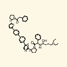 CCN(CC)CCCC(O)NC(C(=O)N1CCC[C@H]1c1ncc(-c2ccc(-c3ccc(-c4ccc([C@@H]5CCCN5C(=O)Cc5ccccc5)s4)cc3)cc2)s1)c1ccccc1